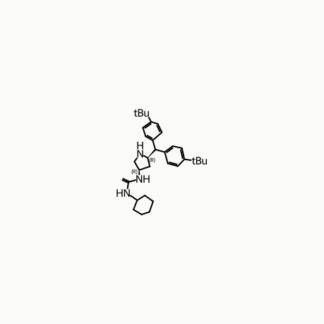 C=C(NC1CCCCC1)N[C@H]1CN[C@@H](C(c2ccc(C(C)(C)C)cc2)c2ccc(C(C)(C)C)cc2)C1